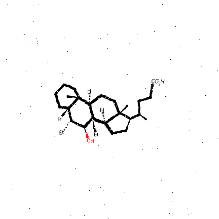 CC[C@H]1[C@H](O)[C@@H]2[C@H](CC[C@]3(C)[C@@H]([C@H](C)CCC(=O)O)CC[C@@H]23)[C@@]2(C)CCCC[C@@H]12